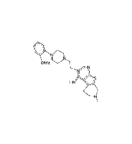 COc1ccccc1N1CCN(CCn2cnc3sc4c(c3c2=N)CCN(C)C4)CC1